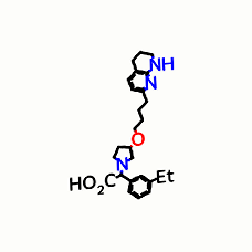 CCc1cccc(C(C(=O)O)N2CCC(OCCCCc3ccc4c(n3)NCCC4)C2)c1